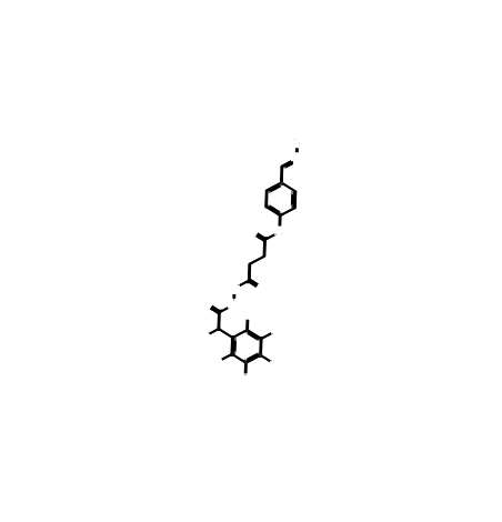 CC(C(=O)ONC(=O)CCC(=O)Nc1ccc(C=NN)cc1)c1c(F)c(F)c(F)c(F)c1F